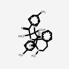 Cc1ccc(C(=O)C(O)(C(=O)O)C(O[C@@]2(N)C(=O)N(C)CCc3ccccc32)(C(=O)O)C(=O)c2ccc(C)cc2)cc1